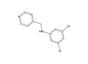 Clc1cc(Cl)cc(NCc2ccncc2)c1